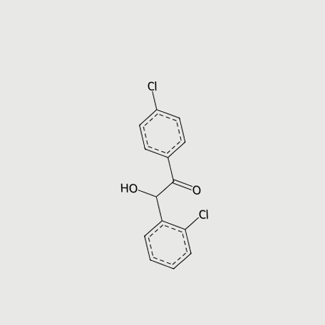 O=C(c1ccc(Cl)cc1)C(O)c1ccccc1Cl